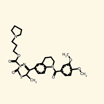 COc1ccc(C(=O)N2CCCc3cc(C4=NN(C(=O)OCCCN5CCCC5)C(=O)SC4C)ccc32)cc1OC